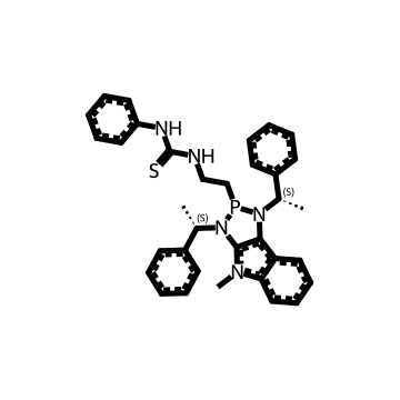 C[C@@H](c1ccccc1)N1c2c(n(C)c3ccccc23)N([C@@H](C)c2ccccc2)P1CCNC(=S)Nc1ccccc1